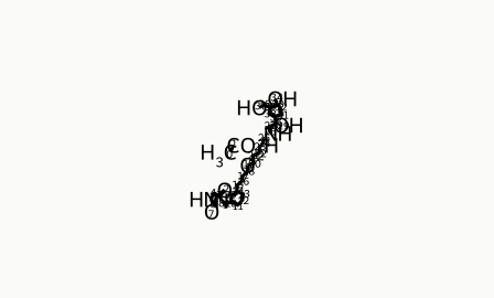 CC(=O)O.O=C1CNC(=O)N1Cc1cccc(CCCCOCCCCCCNC[C@H](O)c2ccc(O)c(CO)c2)c1